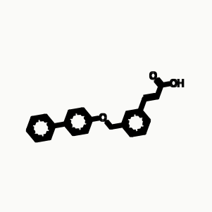 O=C(O)C=Cc1cccc(COc2ccc(-c3ccccc3)cc2)c1